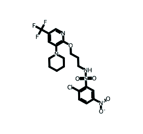 O=[N+]([O-])c1ccc(Cl)c(S(=O)(=O)NCCCOc2ncc(C(F)(F)F)cc2N2CCCCC2)c1